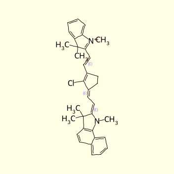 CN1/C(=C/C=C2\CCC(/C=C/C3=[N+](C)c4ccccc4C3(C)C)=C2Cl)C(C)(C)c2ccc3ccccc3c21